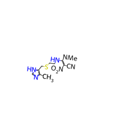 CNC(NCCSCc1[nH]cnc1C)=C(C#N)[N+](=O)[O-]